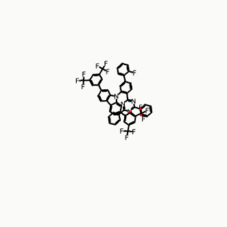 Fc1ccccc1-c1ccc(-c2nc(-c3ccccc3)nc(-c3ccccc3)n2)c(-n2c3cc(-c4cc(C(F)(F)F)cc(C(F)(F)F)c4)ccc3c3ccc(-c4cc(C(F)(F)F)cc(C(F)(F)F)c4)cc32)c1